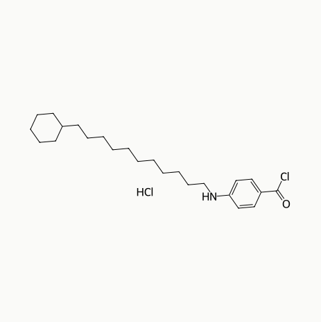 Cl.O=C(Cl)c1ccc(NCCCCCCCCCCCC2CCCCC2)cc1